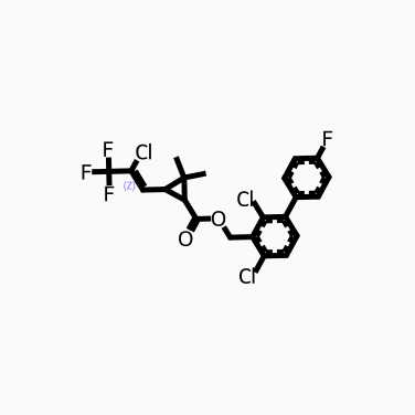 CC1(C)C(/C=C(\Cl)C(F)(F)F)C1C(=O)OCc1c(Cl)ccc(-c2ccc(F)cc2)c1Cl